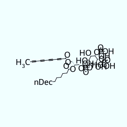 CC#CC#CC#CC#CC(=O)OC[C@H](COP(=O)(O)OC1C(O)[C@@H](O)C(OP(=O)(O)O)[C@H](OP(=O)(O)O)C1O)OC(=O)CCCCCCCCCCCCCCC